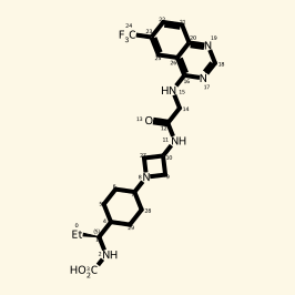 CC[C@H](NC(=O)O)C1CCC(N2CC(NC(=O)CNc3ncnc4ccc(C(F)(F)F)cc34)C2)CC1